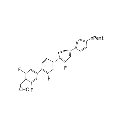 CCCCCc1ccc(-c2ccc(-c3ccc(-c4cc(F)c(CC=O)c(F)c4)c(F)c3)c(F)c2)cc1